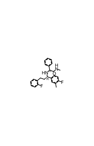 CNC(=O)[C@@H](N[C@H](CCc1ccccc1F)c1ccc(F)c(C)c1)c1ccccc1